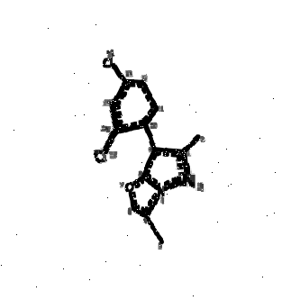 Cc1nn2c(C)coc2c1-c1ccc(Cl)cc1Cl